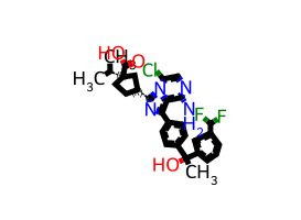 CC(C)[C@@]1(C(=O)O)CC[C@@H](c2nc(-c3ccc(C(C)(O)c4cccc(C(F)F)c4)cc3)c3c(N)ncc(Cl)n23)C1